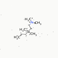 C=CC[Si](C)(C)CCN(C)C